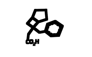 O=C(O)CC1(Cc2ccccc2)CC2CCCC21